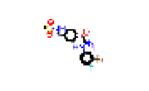 CS(=O)(=O)NC[C@H]1CC[C@H](C(=O)/C(=N/I)Nc2ccc(F)c(Br)c2)CC1